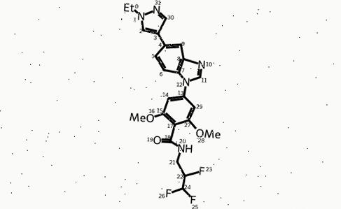 CCn1cc(-c2ccc3c(c2)ncn3-c2cc(OC)c(C(=O)NCC(F)C(F)F)c(OC)c2)cn1